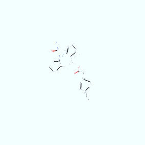 NC(=O)N1c2ccccc2CC(OC(=O)Cc2ccc([N+](=O)[O-])cc2)c2ccccc21